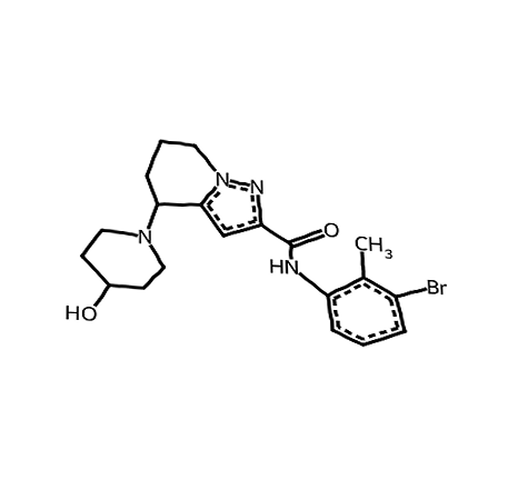 Cc1c(Br)cccc1NC(=O)c1cc2n(n1)CCCC2N1CCC(O)CC1